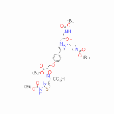 CC(C)(C)OC(=O)NCC(O)Cn1cc(-c2ccc(OCC(O/N=C(\C(=O)O)c3csc(NC(=O)OC(C)(C)C)n3)C(=O)OC(C)(C)C)cc2)c[n+]1CC1CN(C(=O)OC(C)(C)C)C1